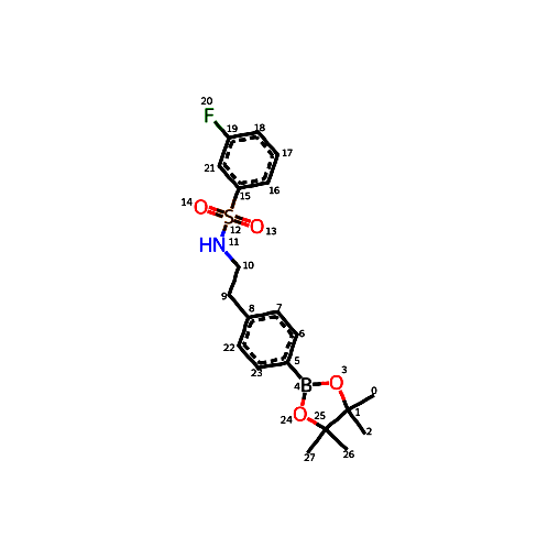 CC1(C)OB(c2ccc(CCNS(=O)(=O)c3cccc(F)c3)cc2)OC1(C)C